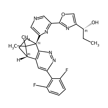 CC[C@@H](O)c1coc(-c2cncc([C@@]34CC[C@@H](c5cc(-c6c(F)cccc6F)nnc53)C4(C)C)n2)n1